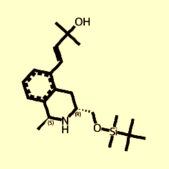 C[C@@H]1N[C@@H](CO[Si](C)(C)C(C)(C)C)Cc2c(C=CC(C)(C)O)cccc21